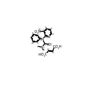 CCC(N(C)C)N(c1ccccc1)c1ncccc1[N+](=O)[O-].O=C(O)C=CC(=O)O